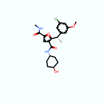 CNC(=O)c1cc(C(=O)N[C@H]2CC[C@H](O)CC2)c([C@@H](C)c2cc(Cl)cc(OC)c2)o1